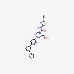 C#Cc1nc(NC(=O)N2CCN(c3ccc(-c4cccc(N5CCCC5)c4)cn3)CC2CO)cs1